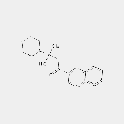 CC(C)(CC(=O)c1ccc2ccccc2c1)N1CCOCC1